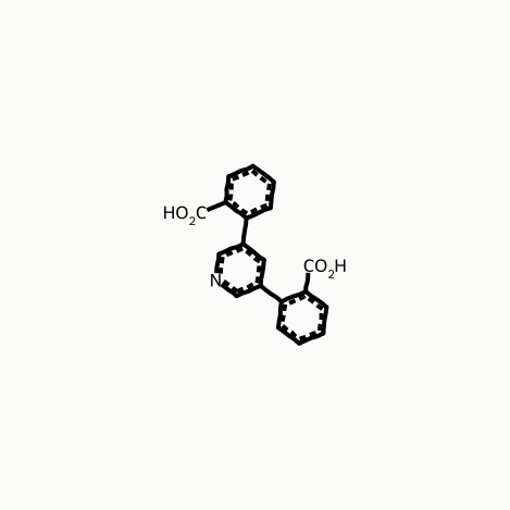 O=C(O)c1ccccc1-c1cncc(-c2ccccc2C(=O)O)c1